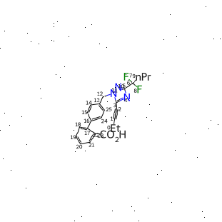 CCC#Cc1nc(C(F)(F)CCC)nn1Cc1ccc(-c2ccccc2C(=O)O)cc1